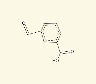 O=Cc1[c]ccc(C(=O)O)c1